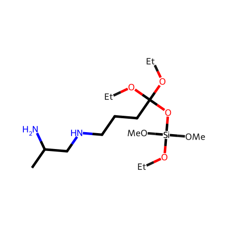 CCOC(CCCNCC(C)N)(OCC)O[Si](OC)(OC)OCC